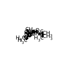 CCOc1c(-c2ccc(C(=O)NCCN(C(C)C)C(C)C)s2)ccc(N(CC)CC)c1OC